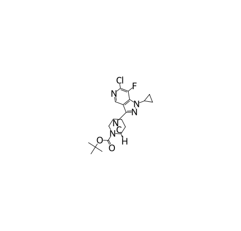 CC(C)(C)OC(=O)N1CC2CC[C@H]1CN2c1nn(C2CC2)c2c(F)c(Cl)ncc12